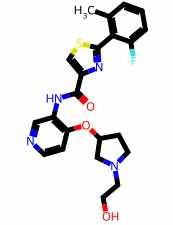 Cc1cccc(F)c1-c1nc(C(=O)Nc2cnccc2OC2CCN(CCO)C2)cs1